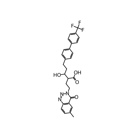 Cc1ccc2nnn(CCC(C(=O)O)C(O)CCc3ccc(-c4ccc(C(F)(F)F)cc4)cc3)c(=O)c2c1